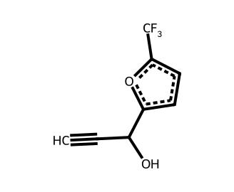 C#CC(O)c1ccc(C(F)(F)F)o1